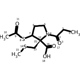 CCC(=O)N1CCC(SC(C)=O)[C@@]1(CSC)C(=O)O